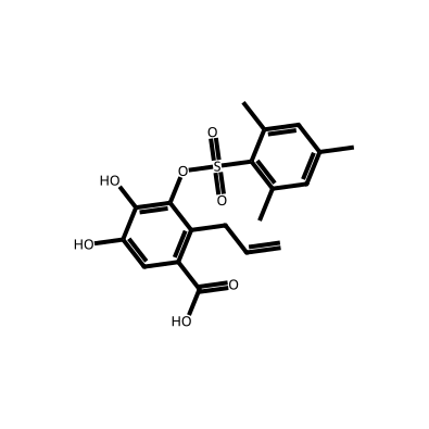 C=CCc1c(C(=O)O)cc(O)c(O)c1OS(=O)(=O)c1c(C)cc(C)cc1C